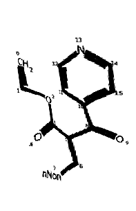 C=COC(=O)C(CCCCCCCCCC)C(=O)c1ccncc1